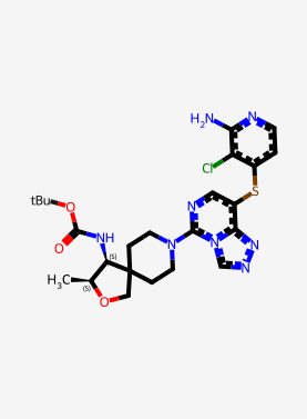 C[C@@H]1OCC2(CCN(c3ncc(Sc4ccnc(N)c4Cl)c4nncn34)CC2)[C@@H]1NC(=O)OC(C)(C)C